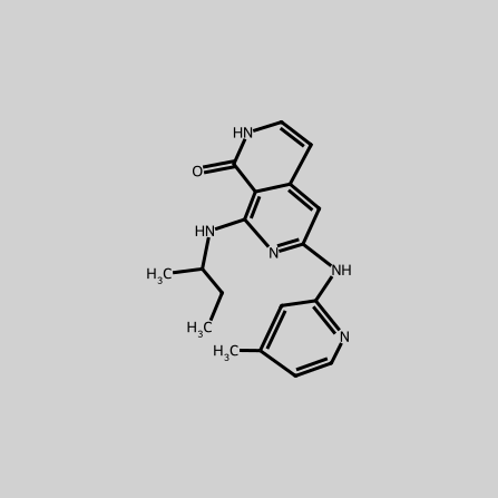 CCC(C)Nc1nc(Nc2cc(C)ccn2)cc2cc[nH]c(=O)c12